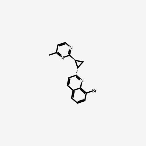 Cc1ccnc([C@H]2C[C@@H]2c2ccc3cccc(Br)c3n2)n1